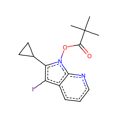 CC(C)(C)C(=O)On1c(C2CC2)c(I)c2cccnc21